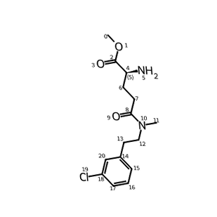 COC(=O)[C@@H](N)CCC(=O)N(C)CCc1cccc(Cl)c1